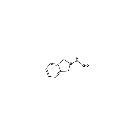 O=[C]N[SH]1Cc2ccccc2C1